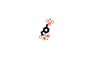 CS(=O)(=O)OCc1ccc2c(c1)CC(=O)N2S(C)(=O)=O